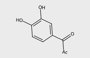 CC(=O)C(=O)c1ccc(O)c(O)c1